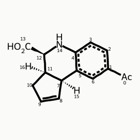 CC(=O)c1ccc2c(c1)[C@H]1C=CC[C@H]1[C@@H](C(=O)O)N2